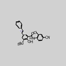 CC(C)(C)c1cc(/C=C/c2ccccc2)cc(C(=O)Nc2ccc(C#N)cc2Cl)c1O